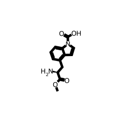 COC(=O)[C@@H](N)Cc1cccc2c1ccn2C(=O)O